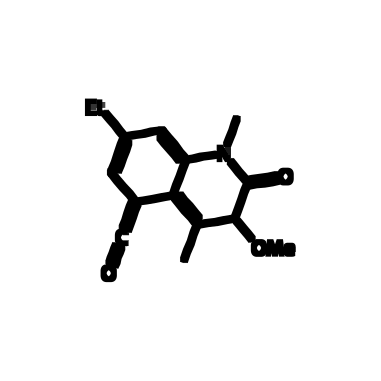 CCc1cc2c(c(=C=O)c1)=C(C)C(OC)C(=O)N2C